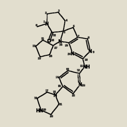 CN1CCCC2(Cc3cnc(Nc4ccc(N5CCNCC5)cn4)nc3N2C2CCCC2)C1=O